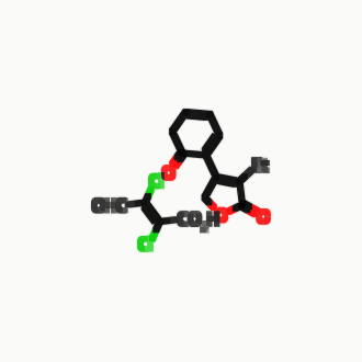 CCC1=C(C2=CC=CCC2=O)COC1=O.O=CC(Cl)=C(Cl)C(=O)O